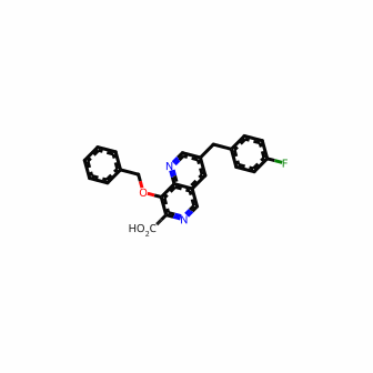 O=C(O)c1ncc2cc(Cc3ccc(F)cc3)cnc2c1OCc1ccccc1